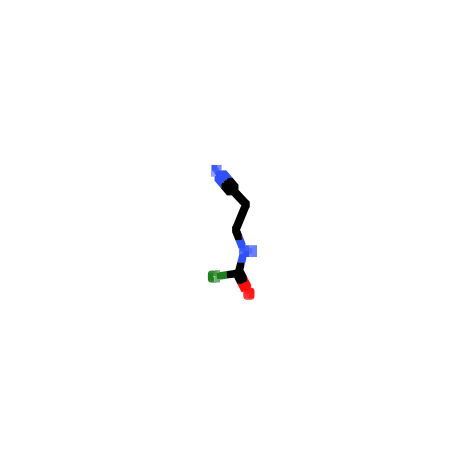 N#CCCNC(=O)Cl